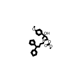 COC(=O)O[C@H]1C[C@](O)(c2ccc(OC)cc2)CN1CCC=C(c1ccccc1)c1ccccc1